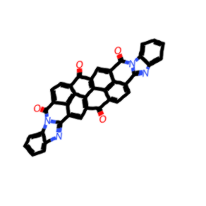 O=c1c2ccc3c(=O)n4c5ccccc5nc4c4cc5c(=O)c6ccc7c8c(cc1c(c68)c5c2c34)c(=O)n1c2ccccc2nc71